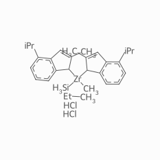 CC1=Cc2c(C(C)C)cccc2[CH]1[Zr]([CH3])([SiH3])[CH]1C(C)=Cc2c(C(C)C)cccc21.CCC.Cl.Cl